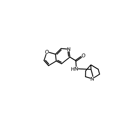 O=C(NC1CN2CCC1CC2)c1cc2ccoc2cn1